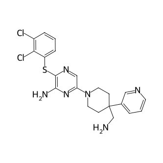 NCC1(c2cccnc2)CCN(c2cnc(Sc3cccc(Cl)c3Cl)c(N)n2)CC1